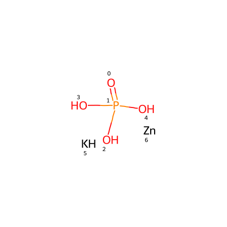 O=P(O)(O)O.[KH].[Zn]